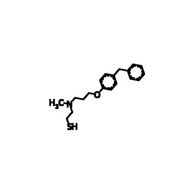 CN(CCS)CCCOc1ccc(Cc2ccccc2)cc1